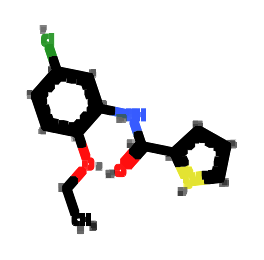 CCOc1ccc(Cl)cc1NC(=O)c1cccs1